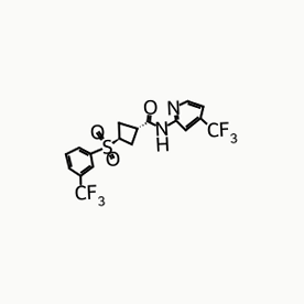 O=C(Nc1cc(C(F)(F)F)ccn1)[C@H]1C[C@H](S(=O)(=O)c2cccc(C(F)(F)F)c2)C1